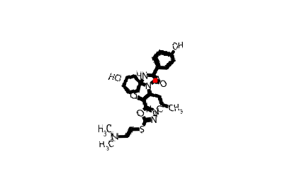 CC(C)CC(C(=O)c1nnc(SCCN(C)C)o1)N(C=O)C1(NC(=O)c2ccc(O)cc2)CCCCC1.Cl